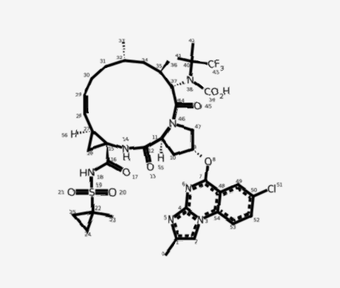 Cc1cn2c(n1)nc(O[C@@H]1C[C@H]3C(=O)N[C@]4(C(=O)NS(=O)(=O)C5(C)CC5)C[C@H]4/C=C\CC[C@H](C)C[C@@H](C)[C@H](N(C(=O)O)C(C)(C)C(F)(F)F)C(=O)N3C1)c1cc(Cl)ccc12